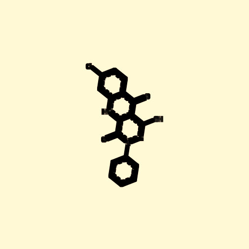 O=c1c2ccc(Cl)cc2[nH]c2c(=O)n(-c3ccccc3)nc(O)c12